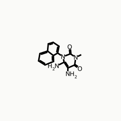 Cn1c(=O)c(N)c(N)n(-c2cccc3ccccc23)c1=O